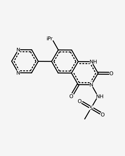 CC(C)c1cc2[nH]c(=O)n(NS(C)(=O)=O)c(=O)c2cc1-c1cncnc1